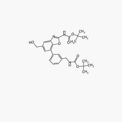 CC(C)(C)OC(=O)NCc1cccc(-c2cc(CO)cc3nc(NC(=O)OC(C)(C)C)oc23)c1